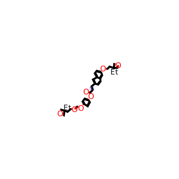 CCC1(CCOCOc2ccc(OC(=O)/C=C/c3ccc4cc(OCCC5(CC)COC5)ccc4c3)cc2)COC1